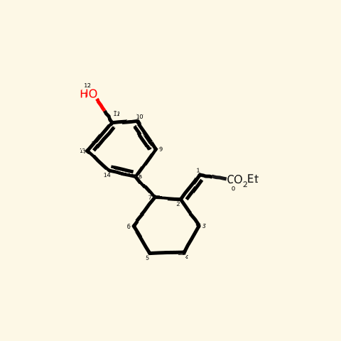 CCOC(=O)C=C1CCCCC1c1ccc(O)cc1